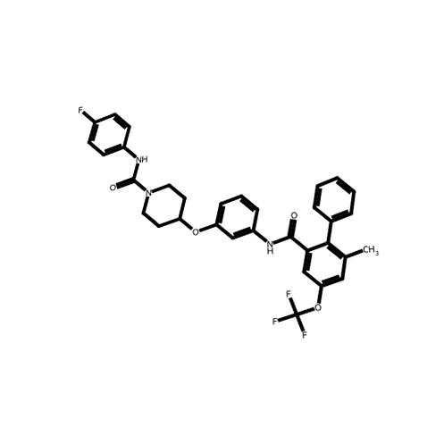 Cc1cc(OC(F)(F)F)cc(C(=O)Nc2cccc(OC3CCN(C(=O)Nc4ccc(F)cc4)CC3)c2)c1-c1ccccc1